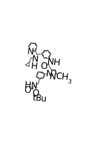 Cc1cc(C(=O)Nc2cccc(C(NCC3CC3)c3ccccn3)c2)n(-c2cccc(CNC(=O)OC(C)(C)C)c2)n1